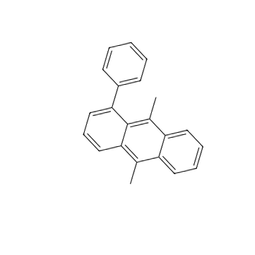 Cc1c2ccccc2c(C)c2c(-c3ccccc3)cccc12